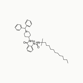 CCCCCCCCCCCCC(C)(C)NC(=O)Nc1ccccc1C(=O)NC1CCN(C(c2ccccc2)c2ccccc2)CC1